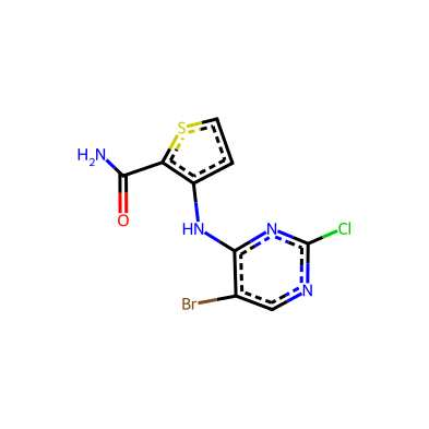 NC(=O)c1sccc1Nc1nc(Cl)ncc1Br